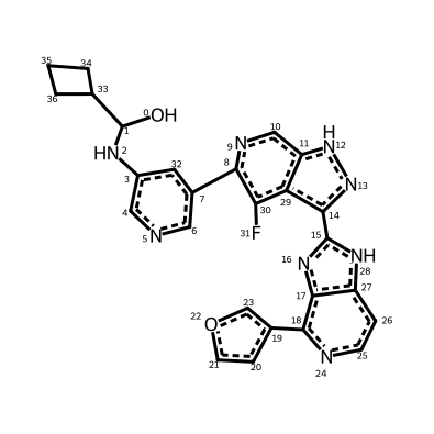 OC(Nc1cncc(-c2ncc3[nH]nc(-c4nc5c(-c6ccoc6)nccc5[nH]4)c3c2F)c1)C1CCC1